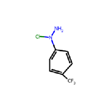 NN(Cl)c1ccc(C(F)(F)F)cc1